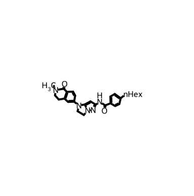 CCCCCCc1ccc(C(=O)Nc2cc3n(n2)CCN3c2ccc3c(c2)CCN(C)C3=O)cc1